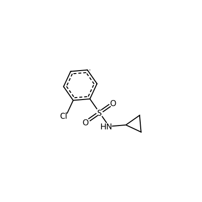 O=S(=O)(NC1CC1)c1c[c]ccc1Cl